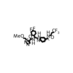 COCCn1nncc1C(=O)N[C@H](c1nc2ccc([C@@H](C)NC(=O)CCC(F)(F)F)cc2[nH]1)C1CCC(F)(F)CC1